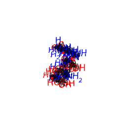 Nc1nc2[nH]cnc2c(=O)[nH]1.Nc1nc2c(ncn2[C@@H]2O[C@H](CO)[C@@H](O)[C@H]2O)c(=O)[nH]1.Nc1ncnc2[nH]cnc12.Nc1ncnc2c1ncn2[C@@H]1O[C@H](CO)[C@@H](O)[C@H]1O.O=c1[nH]c(=O)c2[nH]cnc2[nH]1.OC[C@H]1O[C@@H](n2cnc3c(O)ncnc32)[C@H](O)[C@@H]1O